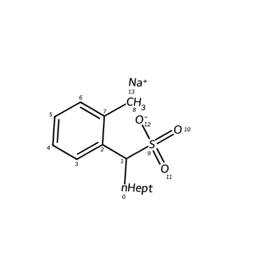 CCCCCCCC(c1ccccc1C)S(=O)(=O)[O-].[Na+]